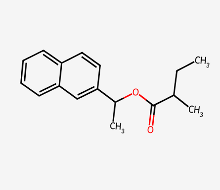 CCC(C)C(=O)OC(C)c1ccc2ccccc2c1